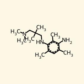 Cc1cc(C)c(NCC(C)(C)CN(C)C)c(C)c1N